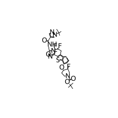 CC(C)(C)OC(=O)N1CC[C@@H](Oc2cccc3c(CC(F)(F)F)c(-c4noc(CNC(=O)c5cnn(C(C)(C)C)c5)n4)sc23)[C@@H](F)C1